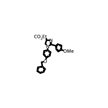 CCOC(=O)C1CN(c2ccc(OCc3ccccc3)cc2)C(c2ccc(OC)cc2)=N1